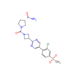 CS(=O)(=O)c1ccc(-c2cnc(C3CN(C(=O)N4CC[C@H](C(N)=O)C4)C3)nc2)c(Cl)c1